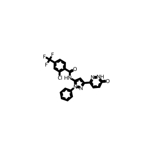 O=C(Nc1cc(-c2ccc(=O)[nH]n2)nn1-c1ccccc1)c1ccc(C(F)(F)F)cc1Cl